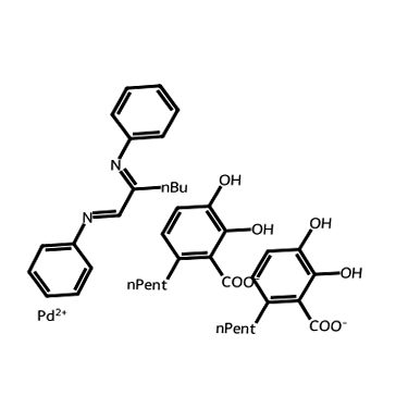 CCCCC(C=Nc1ccccc1)=Nc1ccccc1.CCCCCc1ccc(O)c(O)c1C(=O)[O-].CCCCCc1ccc(O)c(O)c1C(=O)[O-].[Pd+2]